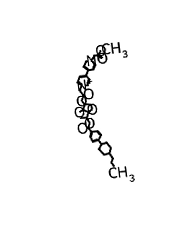 CCCCC1CCC(c2ccc(C(=O)OC3COC4C(OC(=O)C[n+]5ccc(-c6cc[n+](CC(=O)OC)cc6)cc5)COC34)cc2)CC1